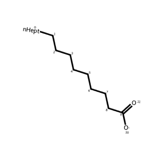 CCCCCCCCCCCCCCCC([O])=O